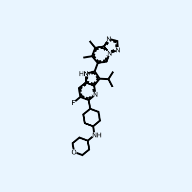 Cc1c(-c2[nH]c3cc(F)c(C4CCC(NC5CCOCC5)CC4)nc3c2C(C)C)cn2ncnc2c1C